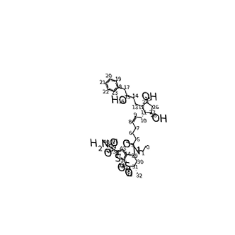 CCN(C(=O)CCC/C=C\C[C@@H]1[C@@H](CC[C@@H](O)Cc2ccccc2)[C@H](O)C[C@@H]1O)[C@H]1C[C@H](C)S(=O)(=O)c2sc(S(N)(=O)=O)cc21